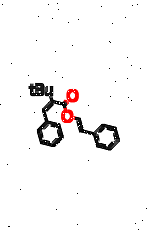 CC(C)(C)C(=Cc1ccccc1)C(=O)OC=Cc1ccccc1